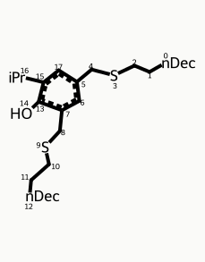 CCCCCCCCCCCCSCc1cc(CSCCCCCCCCCCCC)c(O)c(C(C)C)c1